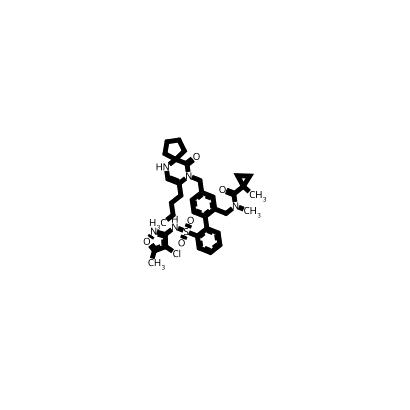 CCCCC1=CNC2(CCCC2)C(=O)N1Cc1ccc(-c2ccccc2S(=O)(=O)Nc2noc(C)c2Cl)c(CN(C)C(=O)C2(C)CC2)c1